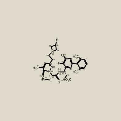 Cc1cccc(C)c1-c1cc(Cl)c(F)c([C@H](CC(=O)O)NC(=O)[C@H](CC(C)C)n2nc(CCN3CC(F)C3)cc(C)c2=O)c1